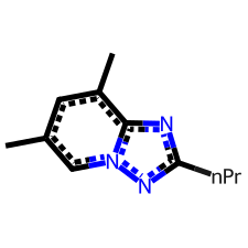 CCCc1nc2c(C)cc(C)cn2n1